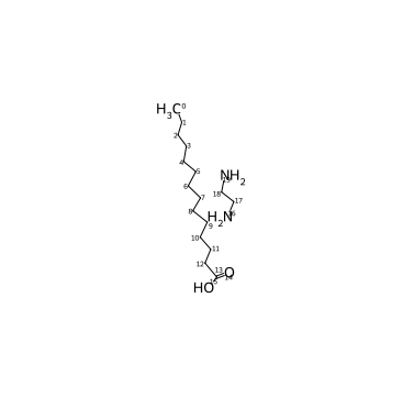 CCCCCCCCCCCCCC(=O)O.NCCN